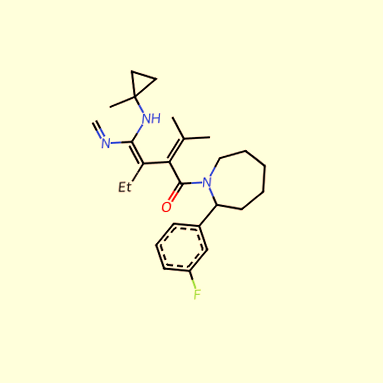 C=N/C(NC1(C)CC1)=C(\CC)C(C(=O)N1CCCCCC1c1cccc(F)c1)=C(C)C